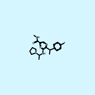 CNC(=O)c1cnc(C(C)c2ccc(F)cc2)c(NC(C)N2CCCC2)n1